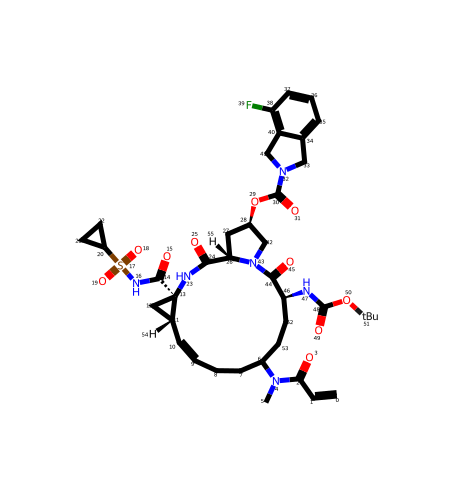 C=CC(=O)N(C)C1CC/C=C\[C@@H]2C[C@@]2(C(=O)NS(=O)(=O)C2CC2)NC(=O)[C@@H]2C[C@@H](OC(=O)N3Cc4cccc(F)c4C3)CN2C(=O)[C@@H](NC(=O)OC(C)(C)C)CC1